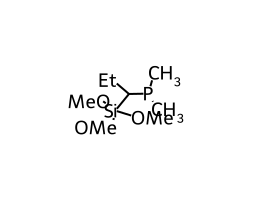 CCC(P(C)C)[Si](OC)(OC)OC